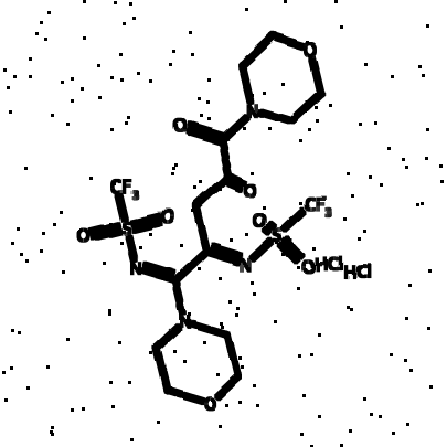 Cl.Cl.O=C(CC(=NS(=O)(=O)C(F)(F)F)C(=NS(=O)(=O)C(F)(F)F)N1CCOCC1)C(=O)N1CCOCC1